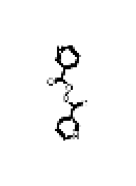 O=C(OOC(=O)c1cccnc1)c1cccnc1